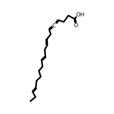 CC/C=C/CCCC/C=C/C/C=C/CC=C=CCCC(=O)O